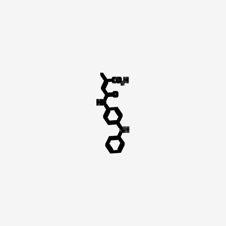 C/C(=C/C(=O)Nc1ccc(Nc2ccccc2)cc1)C(=O)O